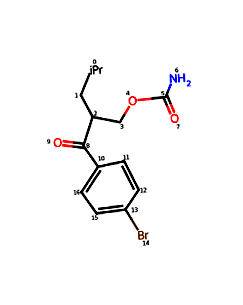 CC(C)CC(COC(N)=O)C(=O)c1ccc(Br)cc1